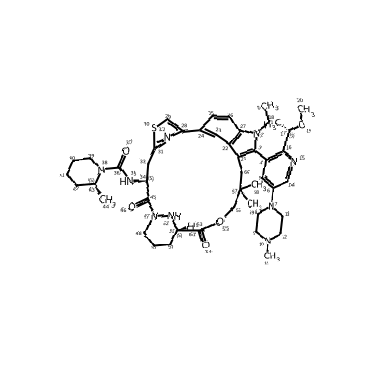 CCn1c(-c2cc(N3CCN(C)CC3)cnc2[C@H](C)OC)c2c3cc(ccc31)-c1csc(n1)C[C@H](NC(=O)N1CCCC[C@@H]1C)C(=O)N1CCC[C@H](N1)C(=O)OCC(C)(C)C2